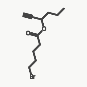 C#CC(CCC)OC(=O)CCCCBr